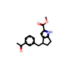 COC(=O)c1cc2c([nH]1)CCC2Cc1cccc(C(C)=O)c1